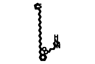 O=C(CCCCCCCCCCCCCCc1cccs1)Cc1ccccc1OCCCc1c[nH]cn1